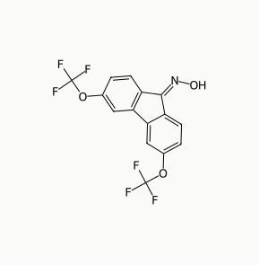 ON=C1c2ccc(OC(F)(F)F)cc2-c2cc(OC(F)(F)F)ccc21